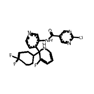 O=C(Nc1cnccc1C1(C2CCC(F)(F)CC2)NC=CC=C1F)c1cnc(Cl)nc1